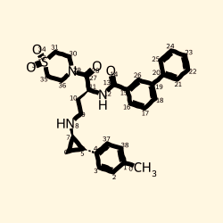 Cc1ccc([C@@H]2C[C@H]2NCC[C@H](NC(=O)c2cccc(-c3ccccc3)c2)C(=O)N2CCS(=O)(=O)CC2)cc1